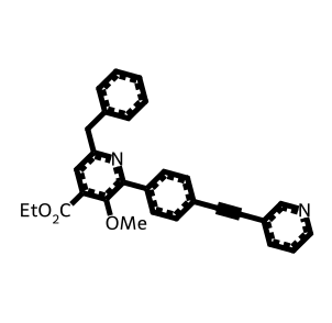 CCOC(=O)c1cc(Cc2ccccc2)nc(-c2ccc(C#Cc3cccnc3)cc2)c1OC